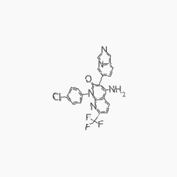 Nc1c(-c2ccc3cncn3c2)c(=O)n(-c2ccc(Cl)cc2)c2nc(C(F)(F)F)ccc12